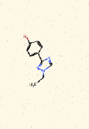 CCn1cnc(-c2ccc(Br)cc2)n1